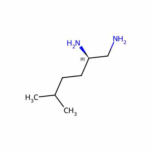 CC(C)CC[C@@H](N)CN